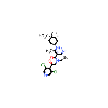 CC(C)(C)CN(CC(=O)c1c(Cl)cncc1Cl)C(=O)/C(C=N)=C(/N[C@H]1CC[C@](C)(C(=O)O)CC1)C(F)(F)F